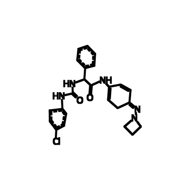 O=C(Nc1ccc(Cl)cc1)NC(C(=O)NC1=CCC(=NN2CCC2)C=C1)c1ccccc1